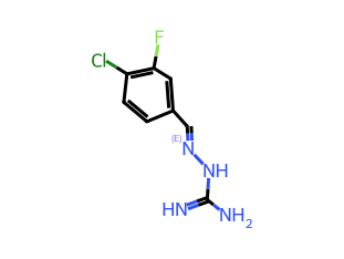 N=C(N)N/N=C/c1ccc(Cl)c(F)c1